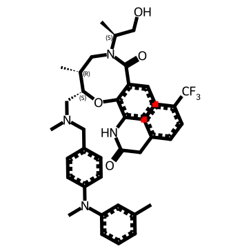 Cc1cccc(N(C)c2ccc(CN(C)C[C@H]3Oc4c(NC(=O)Cc5ccc(C(F)(F)F)cc5)cccc4C(=O)N([C@@H](C)CO)C[C@H]3C)cc2)c1